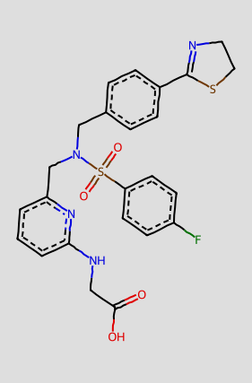 O=C(O)CNc1cccc(CN(Cc2ccc(C3=NCCS3)cc2)S(=O)(=O)c2ccc(F)cc2)n1